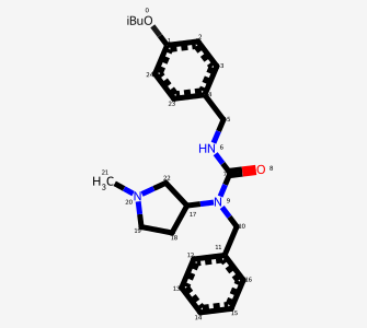 CC(C)COc1ccc(CNC(=O)N(Cc2ccccc2)C2CCN(C)C2)cc1